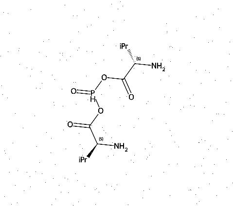 CC(C)[C@H](N)C(=O)O[PH](=O)OC(=O)[C@@H](N)C(C)C